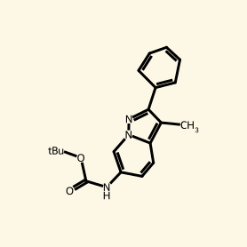 Cc1c(-c2ccccc2)nn2cc(NC(=O)OC(C)(C)C)ccc12